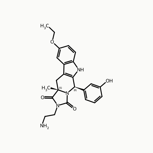 CCOc1ccc2[nH]c3c(c2c1)C[C@@]1(C)C(=O)N(CCN)C(=O)N1[C@@H]3c1cccc(O)c1